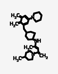 C=C(/C=C(\C)NC1CCC(Cc2cc(N3CCCCC3)cc(=C)c2=C)CC1)N1CCC(C)CC1